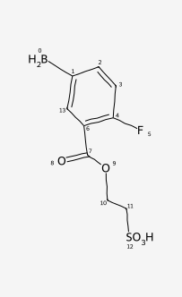 Bc1ccc(F)c(C(=O)OCCS(=O)(=O)O)c1